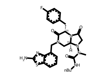 CCCCNC(=O)N(C)N1CC(=O)N2[C@@H](Cc3ccc(F)cc3)C(=O)N(Cc3cccc4sc(N)nc34)C[C@@H]21